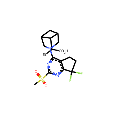 CCC(C(=O)O)C1C2CC1CN(c1nc(S(C)(=O)=O)nc3c1CCC3(F)F)C2